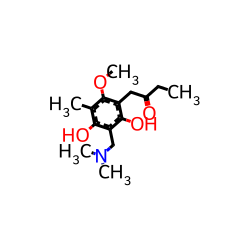 CCC(=O)Cc1c(O)c(CN(C)C)c(O)c(C)c1OC